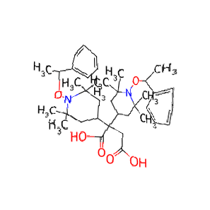 CC(ON1C(C)(C)CC(C(CC(=O)O)(C(=O)O)C2CC(C)(C)N(OC(C)c3ccccc3)C(C)(C)C2)CC1(C)C)c1ccccc1